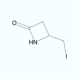 O=C1CC(CI)N1